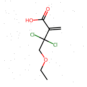 C=C(C(=O)O)C(Cl)(Cl)COCC